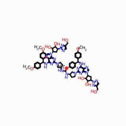 COc1ccc(C(Nc2nc(N3CCC(NC(=O)NC4CCN(c5nc(NC(c6ccc(OC)cc6)c6ccc(OC)cc6)c6ncn(C7CC(n8ncc(CO)n8)C(O)C7O)c6n5)C4)C3)nc3c2ncn3C2CC(n3ncc(CO)n3)C(O)C2O)c2ccc(OC)cc2)cc1